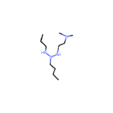 CCCCN(NCCC)NCCN(C)C